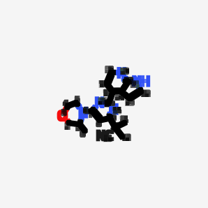 CC1COCCN1c1cc(C(C)(C)C#N)nc(-c2ccnc3[nH]ccc23)n1